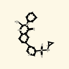 Nc1nc2ccc(-c3cncc(S(=O)(=O)NC4CC4)c3)cc2c(=O)n1-c1ccccc1